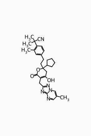 Cc1cnc2nc(CC3=C(O)CC(CCc4ccc(C(C)(C)C#N)c(C)c4)(C4CCCC4)OC3=O)nn2c1